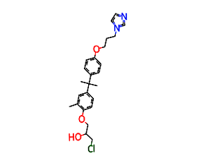 Cc1cc(C(C)(C)c2ccc(OCCCn3ccnc3)cc2)ccc1OCC(O)CCl